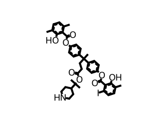 Cc1ccc(C)c(C(=O)Oc2ccc(C(C)(CCC(=O)OC(C)(C)C3CCNCC3)c3ccc(OC(=O)c4c(I)ccc(C)c4O)cc3)cc2)c1O